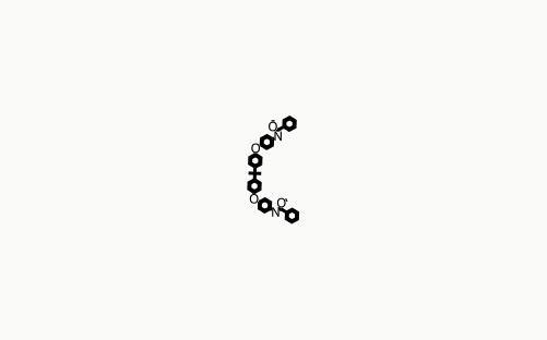 CO/C(=N\c1ccc(Oc2ccc(C(C)(C)c3ccc(Oc4ccc(/N=C(\OC)c5ccccc5)cc4)cc3)cc2)cc1)c1ccccc1